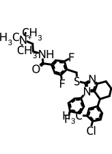 Cc1cc(C2CCCc3nc(SCc4c(F)cc(C(=O)NCC[N+](C)(C)C)cc4F)n(-c4ccc(F)cc4)c32)ccc1Cl